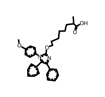 COc1ccc(-n2c(OCCCCCCC(C)C(=O)O)nc(-c3ccccc3)c2-c2ccccc2)cc1